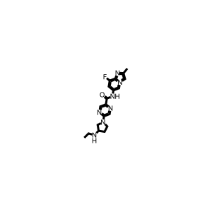 CCNC1CCN(c2cnc(C(=O)Nc3cc(F)c4nc(C)cn4c3)cn2)C1